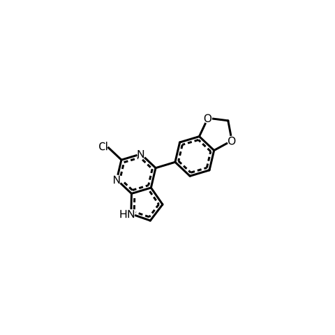 Clc1nc(-c2ccc3c(c2)OCO3)c2cc[nH]c2n1